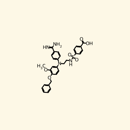 COc1cc(N(CCNS(=O)(=O)c2ccc(C(=O)O)cc2)c2ccc(C(=N)N)cc2)ccc1OCc1ccccc1